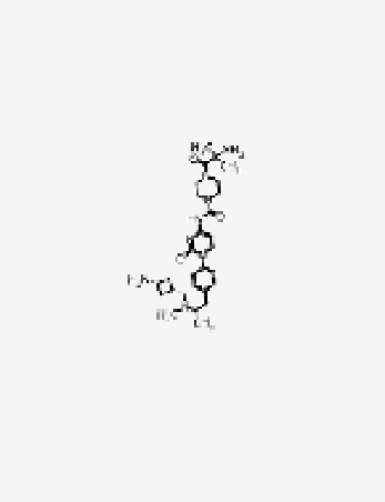 CC(Cc1ccc(-n2ccc(NC(=O)N3CCN(C(=O)C(C)(C)N)CC3)nc2=O)cc1)N(C)C[C@H]1C[C@@H](N)C1